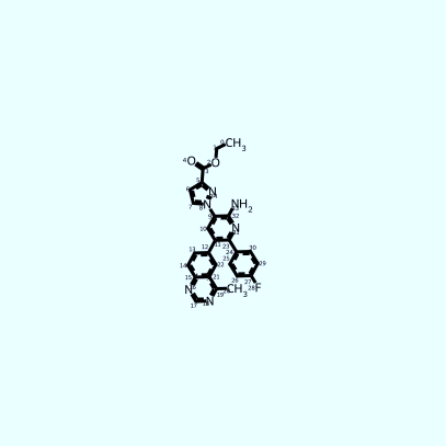 CCOC(=O)c1ccn(-c2cc(-c3ccc4ncnc(C)c4c3)c(-c3ccc(F)cc3)nc2N)n1